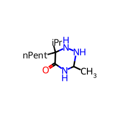 CCCCCC1(C(C)C)NNC(C)NC1=O